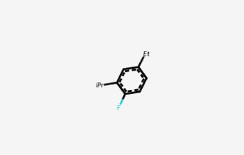 [CH2]C(C)c1cc(CC)ccc1F